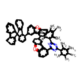 Bc1c(B)c(B)c(-c2nc(-c3c(B)c(B)c(B)c(B)c3B)nc(-c3cccc4oc5ccc(-c6cccc7oc8ccc(-c9cccc%10c9-c9ccccc9C%109c%10ccccc%10-c%10ccccc%109)cc8c67)cc5c34)n2)c(B)c1B